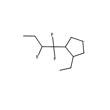 [CH2]CC1C[CH]CC1C(F)(F)C(F)CC